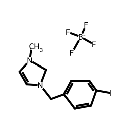 CN1C=CN(Cc2ccc(I)cc2)C1.F[B-](F)(F)F